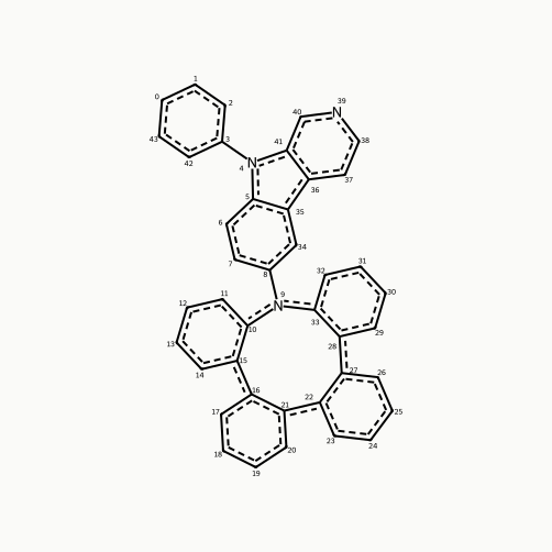 c1ccc(-n2c3ccc(-n4c5ccccc5c5ccccc5c5ccccc5c5ccccc54)cc3c3ccncc32)cc1